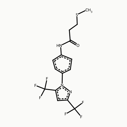 CSCCC(=O)Nc1ccc(-n2nc(C(F)(F)F)cc2C(F)(F)F)cc1